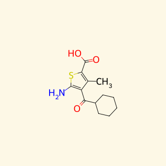 Cc1c(C(=O)O)sc(N)c1C(=O)C1CCCCC1